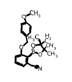 COc1ccc(COc2cccc(C#N)c2B2OC(C)(C)C(C)(C)O2)cc1